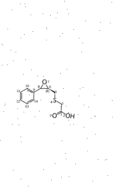 O=C(O)CSC[C@@H]1OC1c1ccccc1